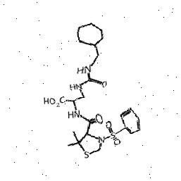 CC1(C)SCN(S(=O)(=O)c2ccccc2)C1C(=O)NC(CNC(=O)NCC1CCCCC1)C(=O)O